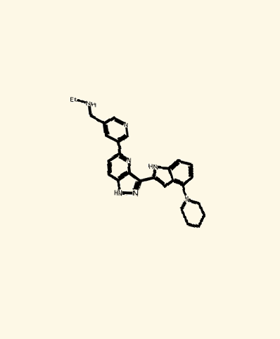 CCNCc1cncc(-c2ccc3[nH]nc(-c4cc5c(N6CCCCC6)cccc5[nH]4)c3n2)c1